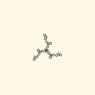 c1ccc2c(c1)sc1cc(-c3ccc4c(c3)c3ccccc3n4-c3ccc(-c4nc(-c5ccc(-n6c7ccccc7c7cc(-c8ccc9c(c8)sc8ccccc89)ccc76)cc5)nc(-c5ccc(-n6c7ccccc7c7cc(-c8ccc9c(c8)sc8ccccc89)ccc76)cc5)n4)cc3)ccc12